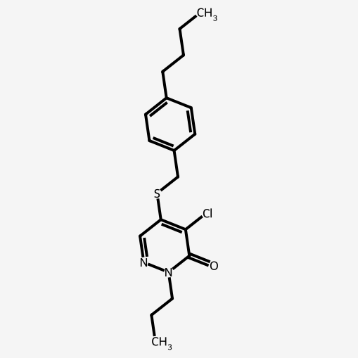 CCCCc1ccc(CSc2cnn(CCC)c(=O)c2Cl)cc1